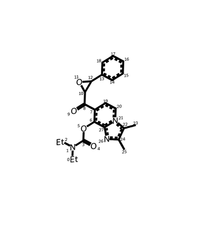 CCN(CC)C(=O)Oc1c(C(=O)C2OC2c2ccccc2)ccn2c(C)c(C)nc12